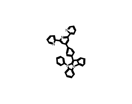 c1ccc(-n2c3ccccc3n3c4ccccc4c(-c4ccc(-c5cc(-c6ccccn6)nc(-c6ccccn6)c5)cc4)c23)cc1